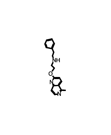 Cc1nccc2nc(OCCNCCc3ccccc3)ccc12